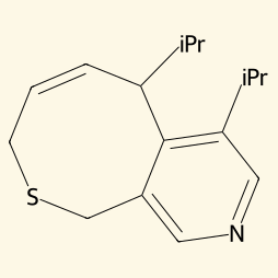 CC(C)c1cncc2c1C(C(C)C)/C=C\CSC2